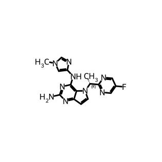 C[C@H](c1ncc(F)cn1)n1ccc2nc(N)nc(Nc3cn(C)cn3)c21